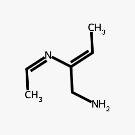 C/C=N\C(=C/C)CN